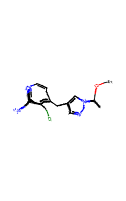 CCOC(C)n1cc(-c2ccnc(N)c2Cl)cn1